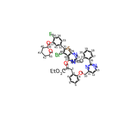 CCOC(=O)[C@@H](Cc1ccccc1OCc1ccnc(-c2ccccc2OC)n1)Oc1ncnc2sc(-c3ccc(F)c(OC4CCCCO4)c3)c(Br)c12